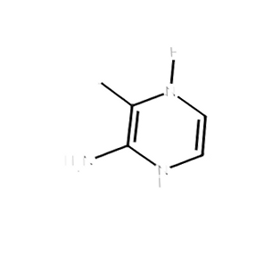 NC1=C(I)N(F)C=CN1